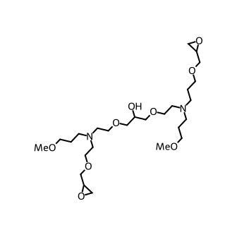 COCCCN(CCCOCC1CO1)CCOCC(O)COCCN(CCCOC)CCOCC1CO1